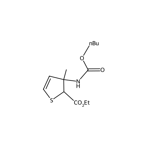 CCCCOC(=O)NC1(C)C=CSC1C(=O)OCC